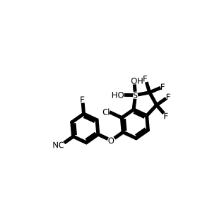 N#Cc1cc(F)cc(Oc2ccc3c(c2Cl)S(O)(O)C(F)(F)C3(F)F)c1